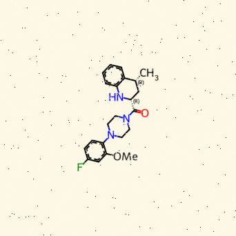 COc1cc(F)ccc1N1CCN(C(=O)[C@H]2C[C@@H](C)c3ccccc3N2)CC1